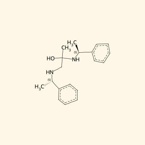 C[C@H](NCC(C)(O)N[C@@H](C)c1ccccc1)c1ccccc1